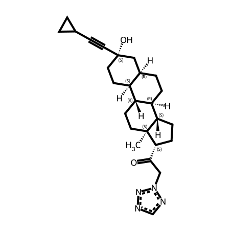 C[C@]12CC[C@H]3[C@@H](CC[C@@H]4C[C@](O)(C#CC5CC5)CC[C@@H]43)[C@@H]1CC[C@@H]2C(=O)Cn1ncnn1